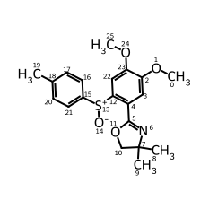 COc1cc(C2=NC(C)(C)CO2)c([S+]([O-])c2ccc(C)cc2)cc1OC